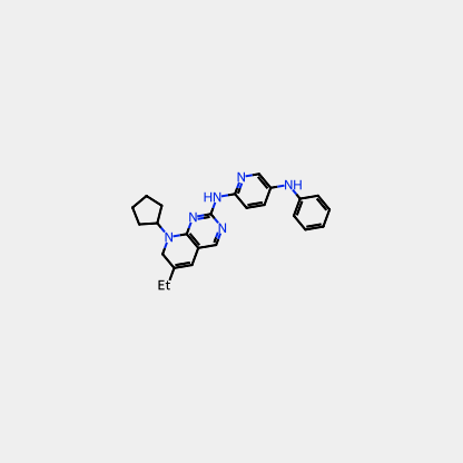 CCC1=Cc2cnc(Nc3ccc(Nc4ccccc4)cn3)nc2N(C2CCCC2)C1